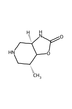 C[C@@H]1CNC[C@H]2NC(=O)OC12